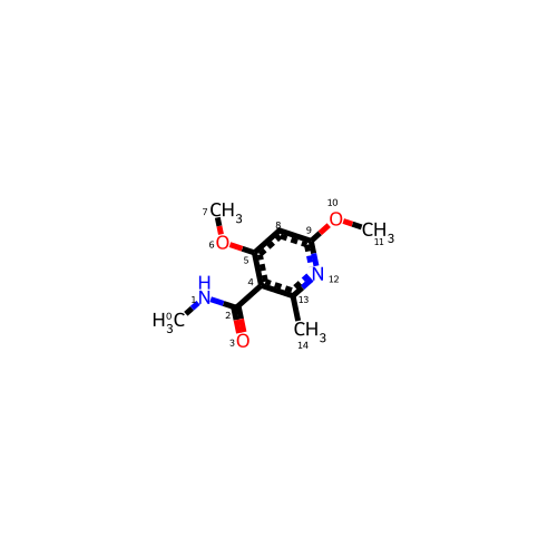 CNC(=O)c1c(OC)cc(OC)nc1C